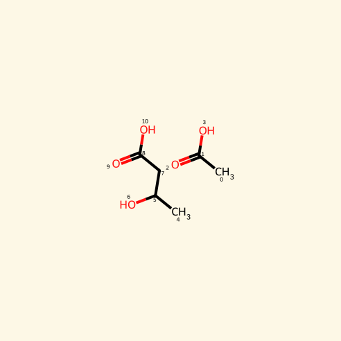 CC(=O)O.CC(O)CC(=O)O